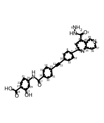 NNC(=O)c1cc(-c2ccc(C#Cc3ccc(C(=O)Nc4ccc(C(=O)O)c(O)c4)cc3)cc2)nc2ccncc12